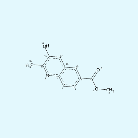 COC(=O)c1ccc2nc(C)c(O)cc2c1